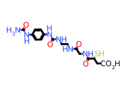 NC(=O)Nc1ccc(NC(=O)NCCNC(=O)CNC(=O)C(S)CC(=O)O)cc1